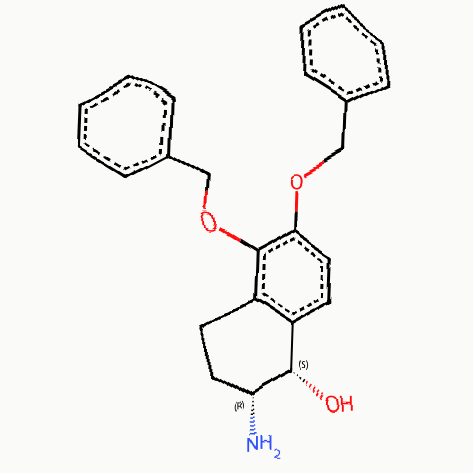 N[C@@H]1CCc2c(ccc(OCc3ccccc3)c2OCc2ccccc2)[C@@H]1O